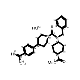 COC(=O)[C@H]1CC[C@H](N(Cc2ccccc2)C(=O)N2CCC(c3ccc(C(=N)N)cc3)CC2)CC1.Cl